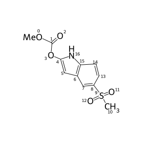 COC(=O)Oc1cc2cc(S(C)(=O)=O)ccc2[nH]1